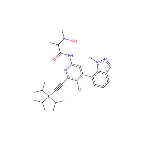 CC(C(=O)Nc1cc(-c2cccc3cnn(C)c23)c(Cl)c(C#C[Si](C(C)C)(C(C)C)C(C)C)n1)N(C)O